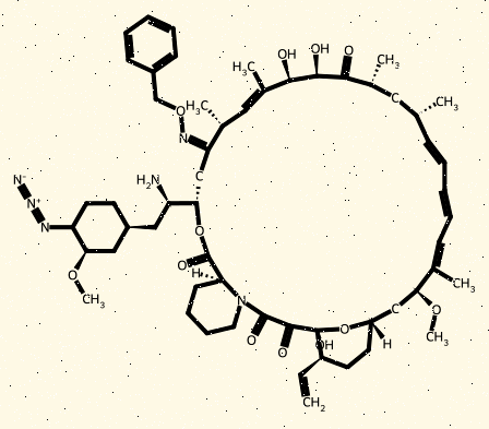 C=C[C@@H]1CC[C@H]2C[C@H](OC)/C(C)=C/C=C/C=C/[C@@H](C)C[C@@H](C)C(=O)[C@H](O)[C@H](O)/C(C)=C/[C@@H](C)/C(=N\OCc3ccccc3)C[C@@H]([C@H](N)C[C@@H]3CCC(N=[N+]=[N-])[C@H](OC)C3)OC(=O)[C@@H]3CCCCN3C(=O)C(=O)[C@]1(O)O2